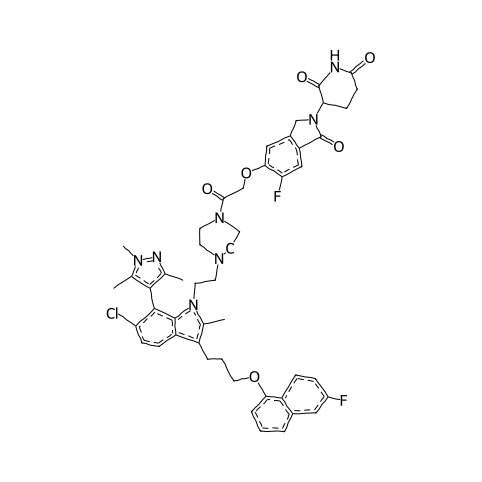 Cc1nn(C)c(C)c1-c1c(Cl)ccc2c(CCCOc3cccc4cc(F)ccc34)c(C)n(CCN3CCN(C(=O)COc4cc5c(cc4F)C(=O)N(C4CCC(=O)NC4=O)C5)CC3)c12